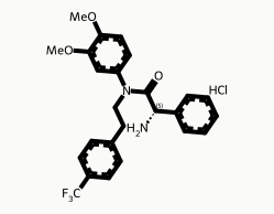 COc1ccc(N(CCc2ccc(C(F)(F)F)cc2)C(=O)[C@@H](N)c2ccccc2)cc1OC.Cl